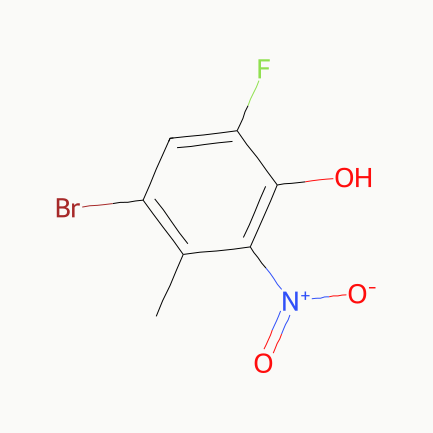 Cc1c(Br)cc(F)c(O)c1[N+](=O)[O-]